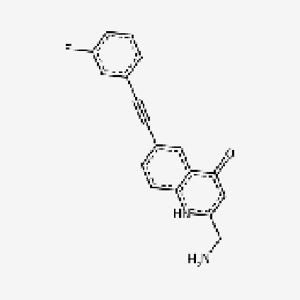 NCc1cc(=O)c2cc(C#Cc3cccc(F)c3)ccc2[nH]1